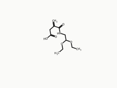 C=C(CC(=O)O)C(=O)NCC(OCC)OCC